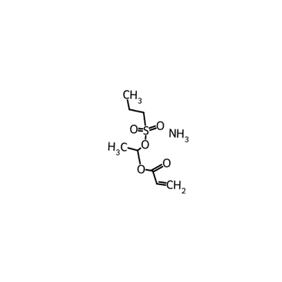 C=CC(=O)OC(C)OS(=O)(=O)CCC.N